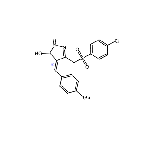 CC(C)(C)c1ccc(/C=C2\C(CS(=O)(=O)c3ccc(Cl)cc3)=NNC2O)cc1